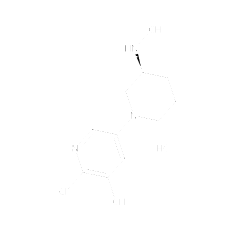 CN[C@H]1CCCN(c2cnc(Cl)c(C)c2)C1.Cl